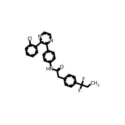 CCC(F)(F)c1ccc(CC(=O)Nc2ccc(-c3nccnc3-c3ccccc3Cl)cc2)cc1